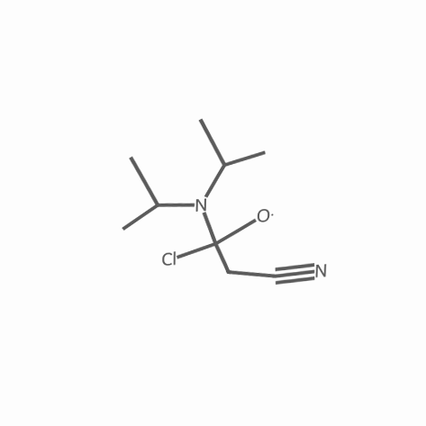 CC(C)N(C(C)C)C([O])(Cl)CC#N